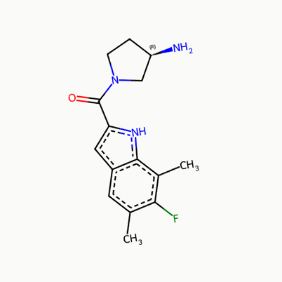 Cc1cc2cc(C(=O)N3CC[C@@H](N)C3)[nH]c2c(C)c1F